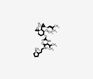 CO[C@@H]1[C@H](OC(=O)N[C@@H](C(=O)NCCC2CCCN2C)C(C)C)CC[C@]2(CO2)[C@H]1[C@@]1(C)C[C@@H]1CC=C(C)C